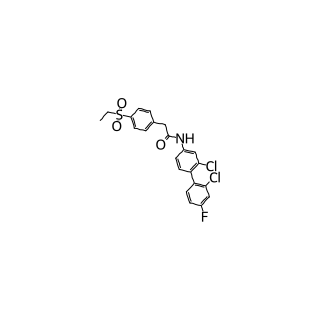 CCS(=O)(=O)c1ccc(CC(=O)Nc2ccc(-c3ccc(F)cc3Cl)c(Cl)c2)cc1